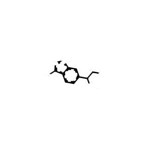 CCC(C)c1ccc2c(N)noc2c1